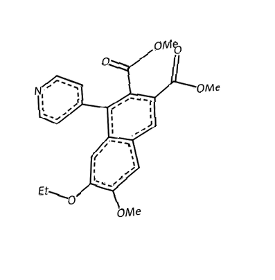 CCOc1cc2c(-c3ccncc3)c(C(=O)OC)c(C(=O)OC)cc2cc1OC